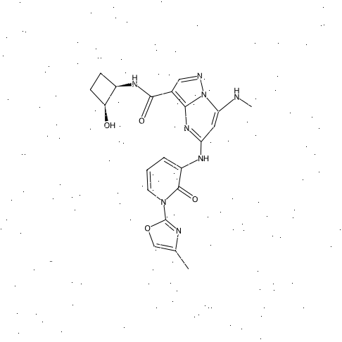 CNc1cc(Nc2cccn(-c3nc(C)co3)c2=O)nc2c(C(=O)N[C@@H]3CC[C@@H]3O)cnn12